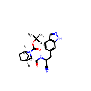 CC(C)(C)OC(=O)N1[C@@H]2CC[C@@H](C2)[C@H]1C(=O)NC(C#N)Cc1ccc2cn[nH]c2c1